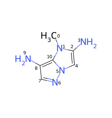 Cn1c(N)cn2ncc(N)c12